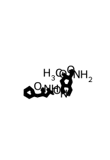 COc1cc2c(OCC3CC(Cc4ccccc4)C(=O)N3)nccc2cc1C(N)=O